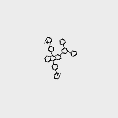 C1=CCC2C(=C1)C(c1ccc(-c3ccccn3)cc1)=c1ccc(-c3cc(-c4ccccc4)cc(-c4ccccc4)c3)cc1=C2c1ccc(-c2ccccn2)cc1